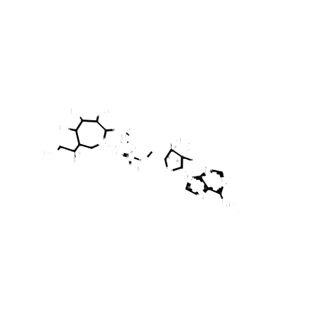 CC[C@@]1(F)[C@H](O)[C@@H](COP(=O)(S)OP(=O)(O)OC2OCC([C@@H](F)CO)C(O)C(O)C2O)O[C@H]1n1cnc2c(N)ncnc21